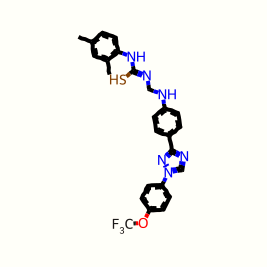 Cc1ccc(N/C(S)=N/CNc2ccc(-c3ncn(-c4ccc(OC(F)(F)F)cc4)n3)cc2)c(C)c1